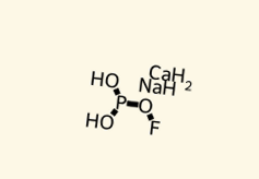 OP(O)OF.[CaH2].[NaH]